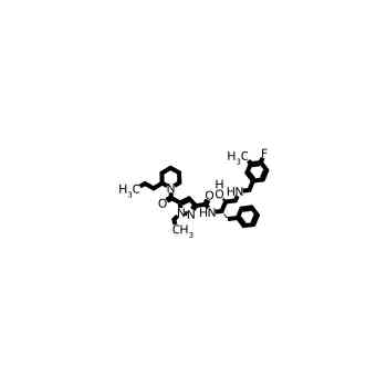 CCCC1CCCCN1C(=O)c1cc(C(=O)N[C@@H](Cc2ccccc2)[C@@H](O)CNCc2ccc(F)c(C)c2)nn1CC